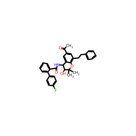 CC(=O)c1cc(CCc2ccccc2)c2c(c1)C(NC(=O)c1ccccc1-c1ccc(F)cc1)C(O)C(C)(C)O2